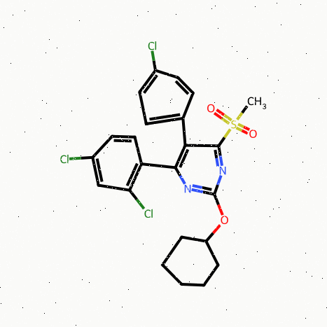 CS(=O)(=O)c1nc(OC2CCCCC2)nc(-c2ccc(Cl)cc2Cl)c1-c1ccc(Cl)cc1